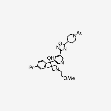 COCCN1CC(C)(C(O)(c2ccc(C(C)C)cc2)c2cncc(-c3noc(C4CCN(C(C)=O)CC4)n3)c2)C1